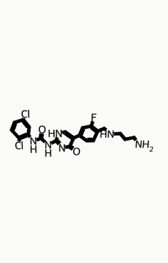 NCCCNCc1ccc(-c2c[nH]c(NC(=O)Nc3cc(Cl)ccc3Cl)nc2=O)cc1F